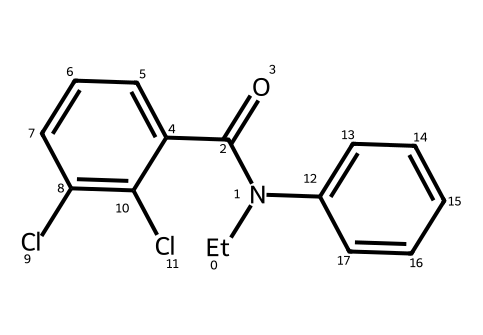 CCN(C(=O)c1cccc(Cl)c1Cl)c1ccccc1